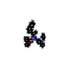 c1ccc(-n2c3ccccc3c3ccc(-c4nc(-c5cccc(-c6ccc7ccc8ccccc8c7c6)c5)nc(-c5c6ccccc6cc6c5oc5ccccc56)n4)cc32)cc1